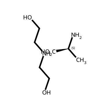 C[C@H](N)C(=O)O.OCCNCCO